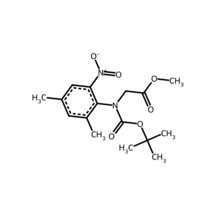 COC(=O)CN(C(=O)OC(C)(C)C)c1c(C)cc(C)cc1[N+](=O)[O-]